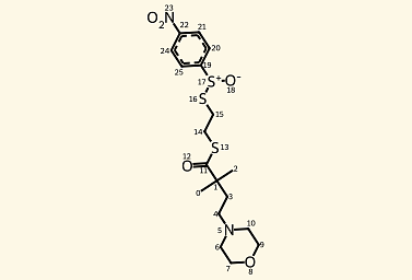 CC(C)(CCN1CCOCC1)C(=O)SCCS[S+]([O-])c1ccc([N+](=O)[O-])cc1